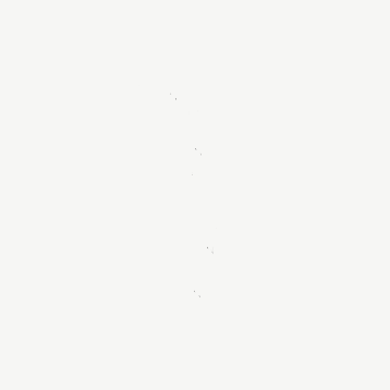 CN(C(=O)c1cc(N2CCNCC2)c(F)cc1C=O)C1CCC(=O)NC1=O